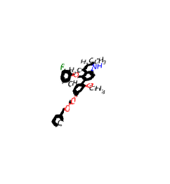 COc1cc(OCOCc2ccccc2)ccc1-c1ccc2c(c1COc1cc(F)ccc1C)C(C)=CC(C)(C)N2